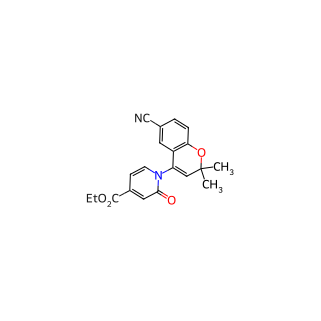 CCOC(=O)c1ccn(C2=CC(C)(C)Oc3ccc(C#N)cc32)c(=O)c1